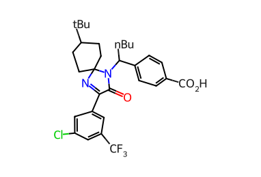 CCCCC(c1ccc(C(=O)O)cc1)N1C(=O)C(c2cc(Cl)cc(C(F)(F)F)c2)=NC12CCC(C(C)(C)C)CC2